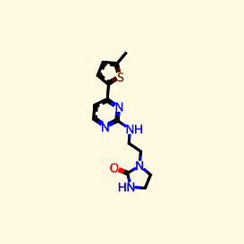 Cc1ccc(-c2ccnc(NCCN3CCNC3=O)n2)s1